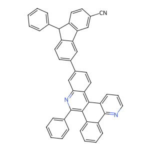 N#Cc1ccc2c(c1)-c1cc(-c3ccc4c(c3)nc(-c3ccccc3)c3c5ccccc5c5ncccc5c43)ccc1C2c1ccccc1